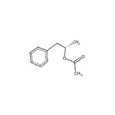 CC(=O)O[C@@H](C)Cc1ccccc1